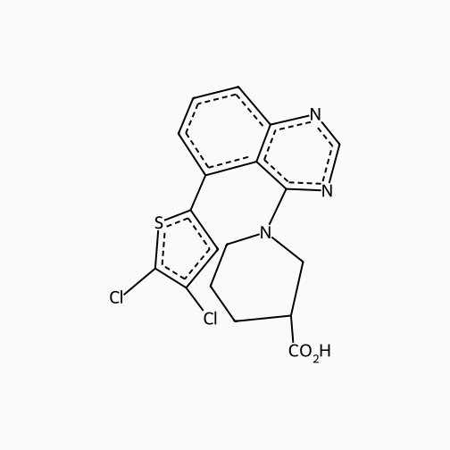 O=C(O)C1CCCN(c2ncnc3cccc(-c4cc(Cl)c(Cl)s4)c23)C1